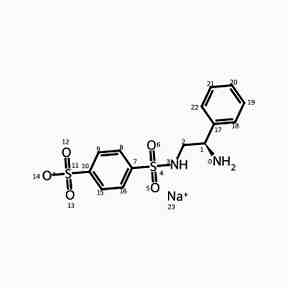 N[C@@H](CNS(=O)(=O)c1ccc(S(=O)(=O)[O-])cc1)c1ccccc1.[Na+]